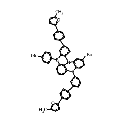 Cc1ccc(-c2ccc(-c3cccc(B4c5ccc(C(C)(C)C)cc5N5c6ccc(-c7ccc(-c8ccc(C)o8)cc7)cc6B(c6ccc(C(C)(C)C)cc6)c6cccc4c65)c3)cc2)o1